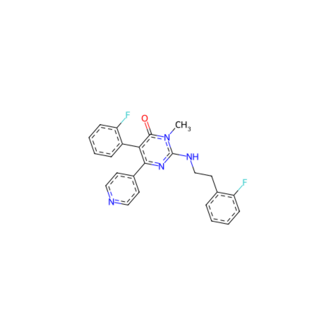 Cn1c(NCCc2ccccc2F)nc(-c2ccncc2)c(-c2ccccc2F)c1=O